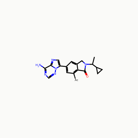 CC(=O)c1cc(-c2cnc3c(N)ncnn23)cc2c1C(=O)N(C(C)C1CC1)C2